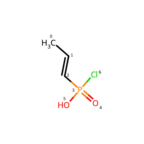 CC=CP(=O)(O)Cl